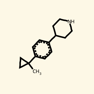 CC1(c2ccc(C3CCNCC3)cc2)CC1